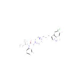 CCC(CC)N(C(=O)CN1CCN(CCCc2c[nH]c3ccc(Cl)cc23)CC1)c1ccccc1